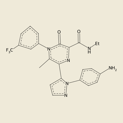 CCNC(=O)c1nc(-c2ccnn2-c2ccc(N)cc2)c(C)n(-c2cccc(C(F)(F)F)c2)c1=O